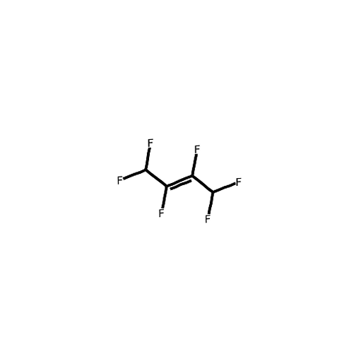 FC(=C(F)C(F)F)C(F)F